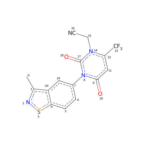 Cc1nsc2ccc(-n3c(=O)cc(C(F)(F)F)n(CC#N)c3=O)cc12